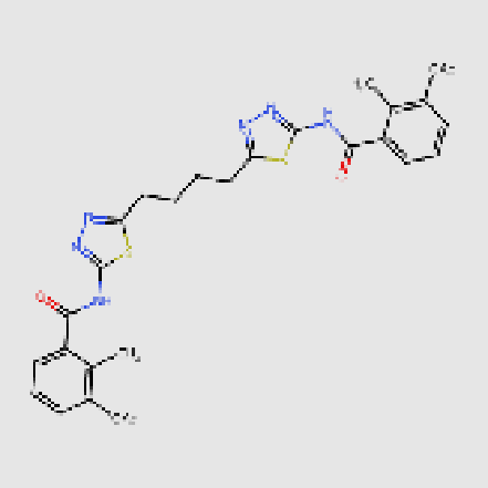 CC(=O)Oc1cccc(C(=O)Nc2nnc(CCCCc3nnc(NC(=O)c4cccc(OC(C)=O)c4C)s3)s2)c1C